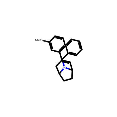 COc1cccc(C2=CC3CCC(C2)N3Cc2ccccc2)c1